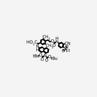 CCS(=O)(=O)c1ccc(NC(=O)OCCc2c(C)cc(C(Nc3ccc4c(N(C(=O)OC(C)(C)C)C(=O)OC(C)(C)C)cccc4c3)C(=O)O)cc2C)cc1C#N